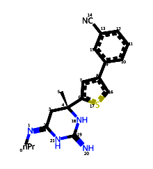 CCC/N=C1/C[C@](C)(c2cc(-c3cccc(C#N)c3)cs2)NC(=N)N1